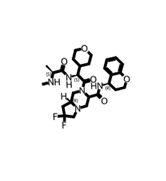 CN[C@@H](C)C(=O)N[C@H](C(=O)N1C[C@H]2CC(F)(F)CN2CC1C(=O)N[C@@H]1CCOc2ccccc21)C1CCOCC1